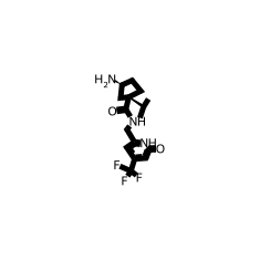 CC(C)[C@]1(C(=O)NCc2cc(C(F)(F)F)cc(=O)[nH]2)CC[C@@H](N)C1